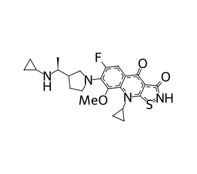 COc1c(N2CCC([C@H](C)NC3CC3)C2)c(F)cc2c(=O)c3c(=O)[nH]sc3n(C3CC3)c12